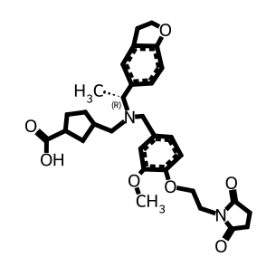 COc1cc(CN(CC2CCC(C(=O)O)C2)[C@H](C)c2ccc3c(c2)CCO3)ccc1OCCN1C(=O)CCC1=O